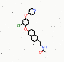 CC(=O)NCCc1ccc2cc(Oc3ccc(Oc4ccncc4)cc3Cl)ccc2c1